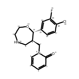 O=c1ccccn1C[C@H]1CNCCO[C@@H]1c1ccc(Cl)c(F)c1